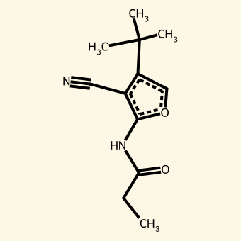 CCC(=O)Nc1occ(C(C)(C)C)c1C#N